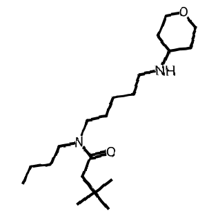 CCCCN(CCCCCNC1CCOCC1)C(=O)CC(C)(C)C